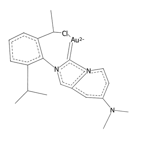 CC(C)c1cccc(C(C)C)c1-n1cc2cc(N(C)C)ccn2[c]1=[Au-2][Cl]